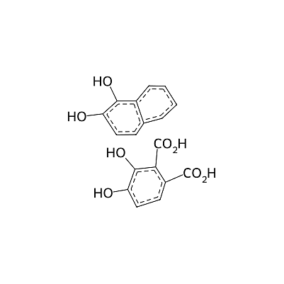 O=C(O)c1ccc(O)c(O)c1C(=O)O.Oc1ccc2ccccc2c1O